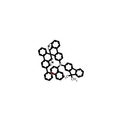 CC1(C)c2ccccc2-c2ccc(N(c3ccc4c(c3)C3(c5ccccc5-c5ccc(-c6ccccc6)c6cccc3c56)c3cccc5cccc-4c35)c3cccc4ccccc34)cc21